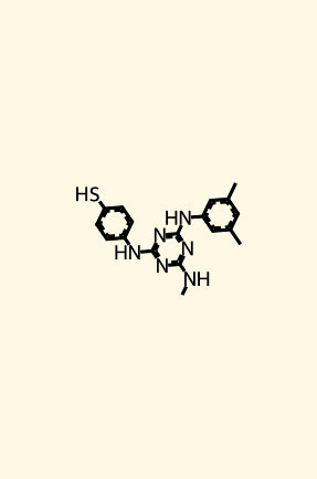 CNc1nc(Nc2ccc(S)cc2)nc(Nc2cc(C)cc(C)c2)n1